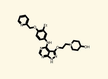 CCc1cc(Nc2ncnc3[nH]nc(OCCN4CCC(O)CC4)c23)ccc1OCc1ccccn1